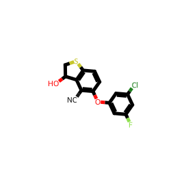 N#Cc1c(Oc2cc(F)cc(Cl)c2)ccc2c1C(O)CS2